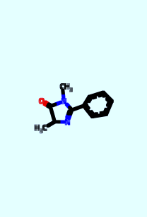 CC1N=C(c2ccccc2)N(C)C1=O